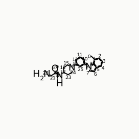 Cc1cccc2ccn(-c3cccc(N4CCC(NC(=O)CN)CC4)c3)c12